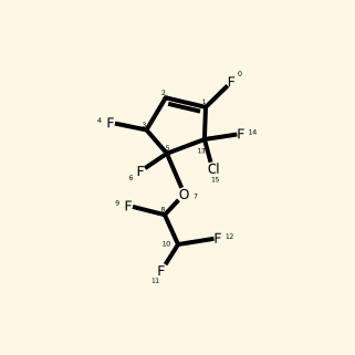 FC1=CC(F)C(F)(OC(F)C(F)F)C1(F)Cl